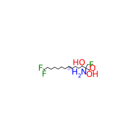 NC(CF)(C(=O)O)C(O)CC/C=C/CCCCCCC(F)F